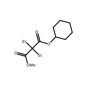 CCC(CC)(C(=O)OC)C(=O)OC1CCCCC1